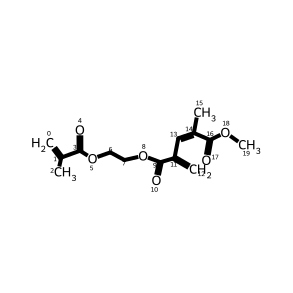 C=C(C)C(=O)OCCOC(=O)C(=C)C=C(C)C(=O)OC